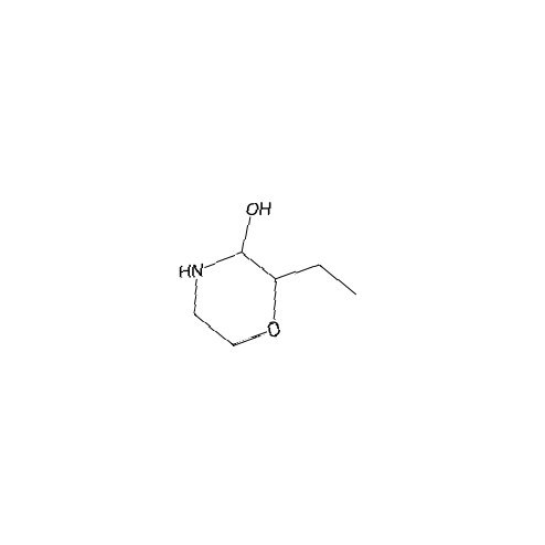 CCC1OCCNC1O